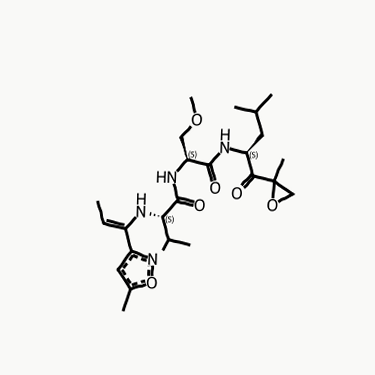 CC=C(N[C@H](C(=O)N[C@@H](COC)C(=O)N[C@@H](CC(C)C)C(=O)C1(C)CO1)C(C)C)c1cc(C)on1